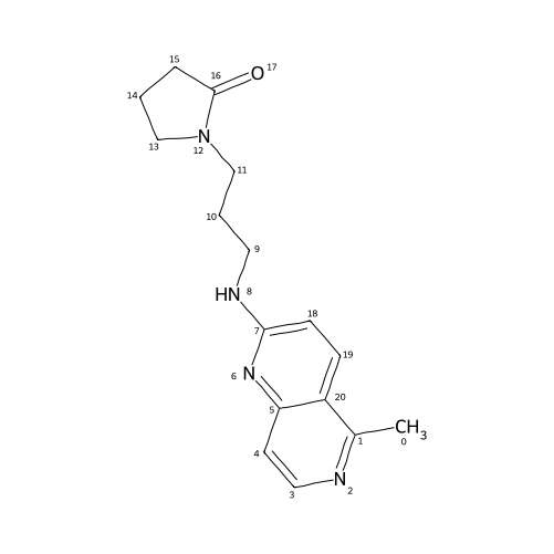 Cc1nccc2nc(NCCCN3CCCC3=O)ccc12